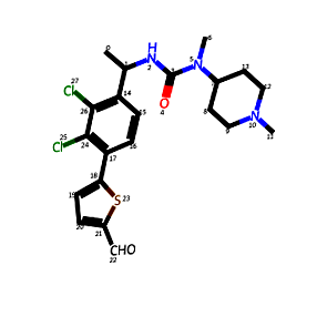 CC(NC(=O)N(C)C1CCN(C)CC1)c1ccc(-c2ccc(C=O)s2)c(Cl)c1Cl